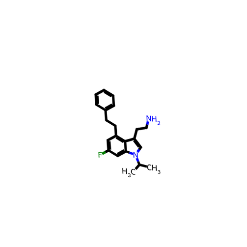 CC(C)n1cc(CCN)c2c(CCc3ccccc3)cc(F)cc21